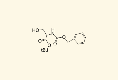 CC(C)(C)OC(=O)C(CO)NC(=O)OCc1ccccc1